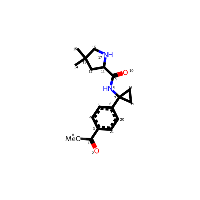 COC(=O)c1ccc(C2(NC(=O)C3CC(C)(C)CN3)CC2)cc1